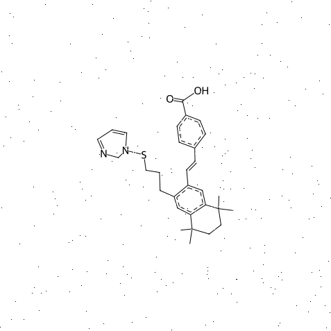 CC1(C)CCC(C)(C)c2cc(CCCSN3C=CC=NC3)c(C=Cc3ccc(C(=O)O)cc3)cc21